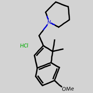 COc1ccc2c(c1)C(C)(C)C(CN1CCCCC1)=C2.Cl